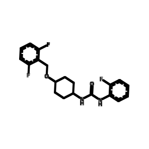 O=C(Nc1ccccc1F)NC1CCC(OCc2c(F)cccc2F)CC1